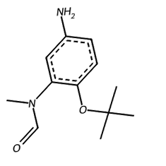 CN(C=O)c1cc(N)ccc1OC(C)(C)C